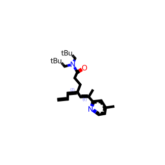 C=C/C=C(\C=C(/C)c1cc(C)ccn1)CCC(=O)N(CC(C)(C)C)CC(C)(C)C